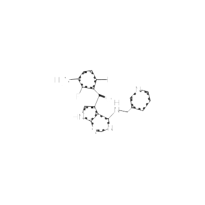 Nc1ccc(F)c(C(=O)c2c[nH]c3ncnc(NCc4cccnc4)c23)c1F